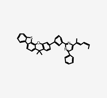 C/C=C\C=C(/C)c1cc(-c2ccccc2)nc(-c2cccc(-c3ccc4c(c3)Oc3c(ccc5c3sc3ccccc35)C4(C)C)c2)n1